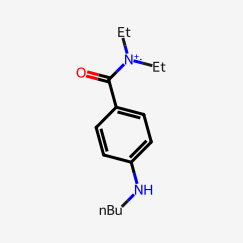 CCCCNc1ccc(C(=O)[N+](CC)CC)cc1